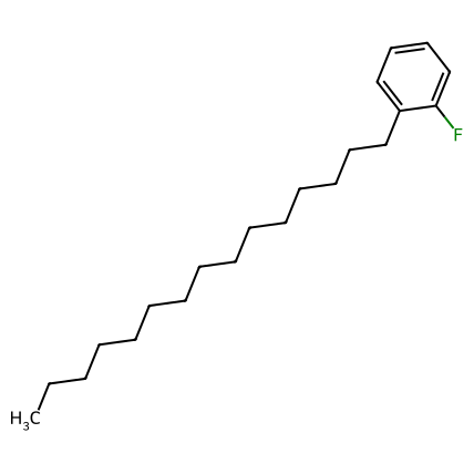 CCCCCCCCCCCCCCCc1ccccc1F